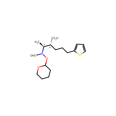 C[C@@H]([C@@H](CCCc1cccs1)C(=O)O)N(C=O)OC1CCCCO1